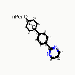 CCCCCC12CCC(c3ccc(-c4nc[c]cn4)cc3)(CC1)CC2